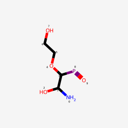 NC(O)C(OCCO)P=O